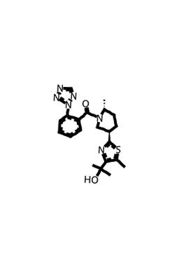 Cc1sc([C@@H]2CC[C@@H](C)N(C(=O)c3ccccc3-n3ncnn3)C2)nc1C(C)(C)O